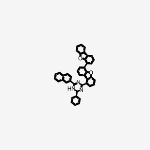 c1ccc(C2N=C(c3cccc4oc5c(-c6cccc7c6oc6ccccc67)cccc5c34)N=C(c3ccc4ccccc4c3)N2)cc1